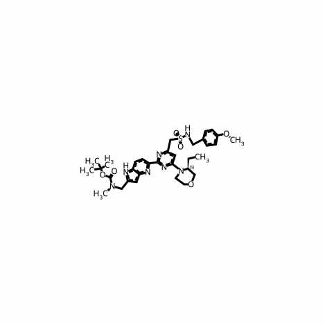 CC[C@H]1COCCN1c1cc(CS(=O)(=O)NCc2ccc(OC)cc2)nc(-c2ccc3[nH]c(CN(C)C(=O)OC(C)(C)C)cc3n2)n1